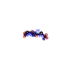 CN(C)c1c(NCc2cccc(CNC(=O)c3c[nH]c4c(C(=O)NCc5ccc6c(c5)NC(=O)CO6)ncnc34)c2)c(=O)c1=O